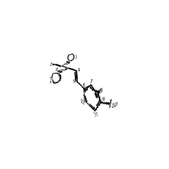 CS(=O)(=O)/C=C/c1ccc(I)cc1